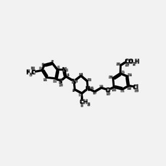 C[C@H]1CN(c2nc3ccc(C(F)(F)F)cc3s2)CCN1CCOc1cc(Cl)cc(CC(=O)O)c1